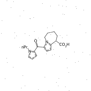 CCCn1cccc1C(=O)c1ccc2n1CCCCC2C(=O)O